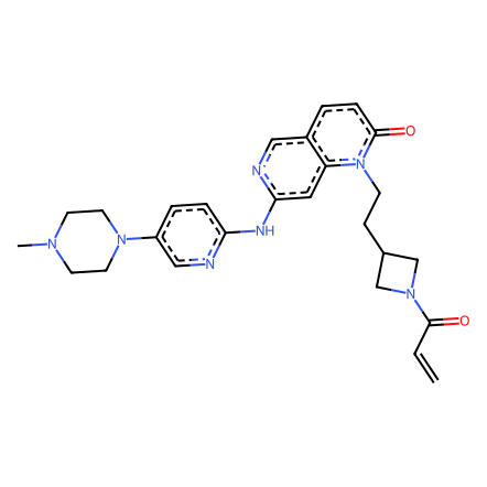 C=CC(=O)N1CC(CCn2c(=O)ccc3cnc(Nc4ccc(N5CCN(C)CC5)cn4)cc32)C1